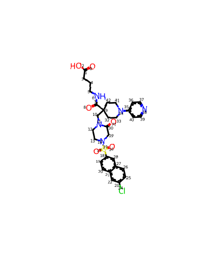 O=C(O)CCCNC(=O)C1(CN2CCN(S(=O)(=O)c3ccc4cc(Cl)ccc4c3)CC2=O)CCN(c2ccncc2)CC1